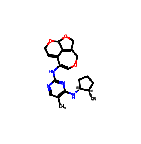 Cc1cnc(NC2=COCC3=C4B(OCC=C24)OC3)nc1N[C@@H]1CCC[C@H]1C#N